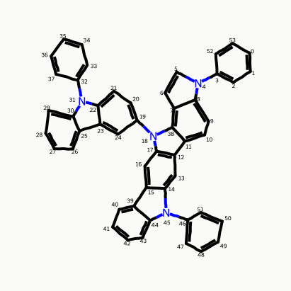 c1ccc(-n2ccc3c2ccc2c4cc5c(cc4n(-c4ccc6c(c4)c4ccccc4n6-c4ccccc4)c23)c2ccccc2n5-c2ccccc2)cc1